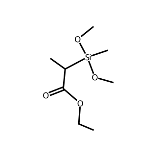 CCOC(=O)C(C)[Si](C)(OC)OC